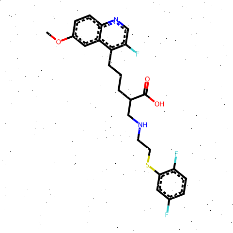 COc1ccc2ncc(F)c(CCCC(CNCCSc3cc(F)ccc3F)C(=O)O)c2c1